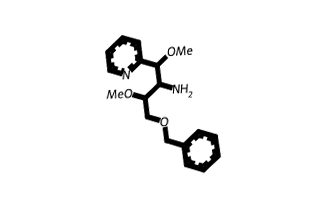 COC(COCc1ccccc1)C(N)C(OC)c1ccccn1